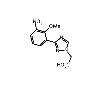 COc1c(-c2ncn(CC(=O)O)n2)cccc1[N+](=O)[O-]